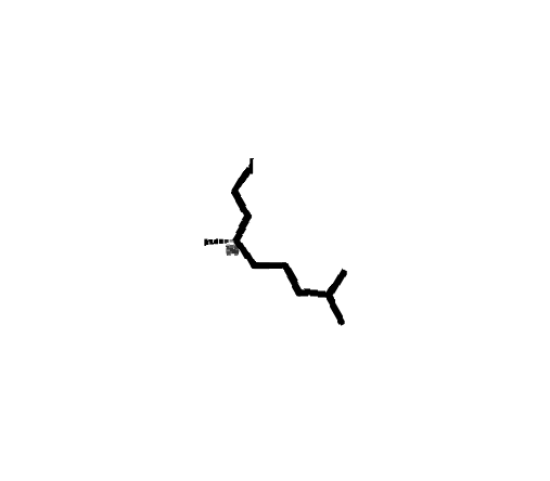 CC(C)CCC[C@H](C)CCI